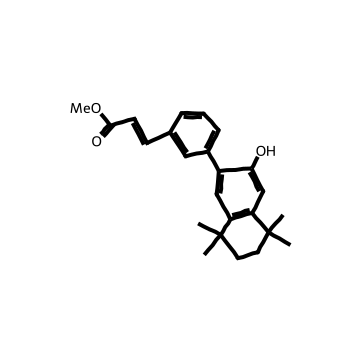 COC(=O)C=Cc1cccc(-c2cc3c(cc2O)C(C)(C)CCC3(C)C)c1